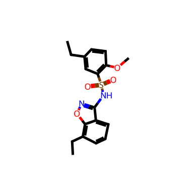 CCc1ccc(OC)c(S(=O)(=O)Nc2noc3c(CC)cccc23)c1